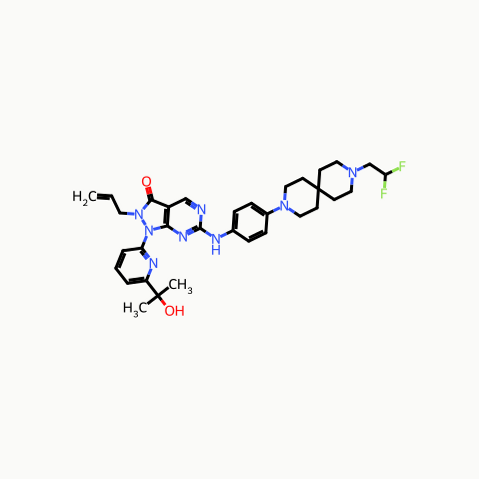 C=CCn1c(=O)c2cnc(Nc3ccc(N4CCC5(CCN(CC(F)F)CC5)CC4)cc3)nc2n1-c1cccc(C(C)(C)O)n1